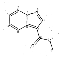 COC(=O)c1cnn2ncccc12